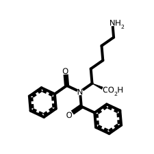 NCCCC[C@@H](C(=O)O)N(C(=O)c1ccccc1)C(=O)c1ccccc1